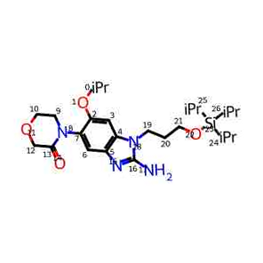 CC(C)Oc1cc2c(cc1N1CCOCC1=O)nc(N)n2CCCO[Si](C(C)C)(C(C)C)C(C)C